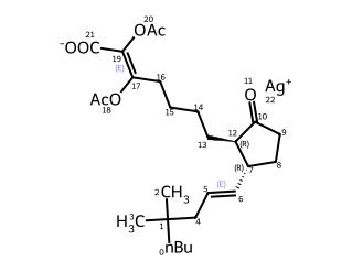 CCCCC(C)(C)C/C=C/[C@H]1CCC(=O)[C@@H]1CCCC/C(OC(C)=O)=C(\OC(C)=O)C(=O)[O-].[Ag+]